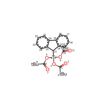 CC(C)(C)C(=O)[O][Ti]([O]C(=O)C(C)(C)C)([O]C(=O)C(C)(C)C)[CH]1c2ccccc2-c2ccccc21